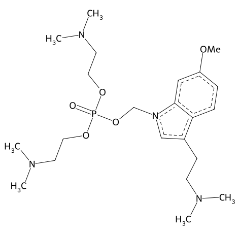 COc1ccc2c(CCN(C)C)cn(COP(=O)(OCCN(C)C)OCCN(C)C)c2c1